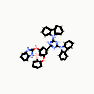 c1ccc2c(c1)Oc1cc(-c3nc(-n4c5ccccc5c5ccccc54)nc(-n4c5ccccc5c5ccccc54)n3)cc3c1B2n1c(nc2ccccc21)O3